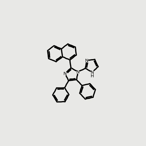 c1ccc(-c2nc(-c3cccc4ccccc34)n(-c3ncc[nH]3)c2-c2ccccc2)cc1